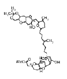 C=C(CCCC[C@]12CC(O)C(O1)C1C[C@@H](O2)C2O[C@@H](CC(=O)OC)CC[C@@H]2O1)CCCC1CCC(=C)C(C[C@@H]2OC3CC4OC(C)(C)OCC4OC3CC2O)O1